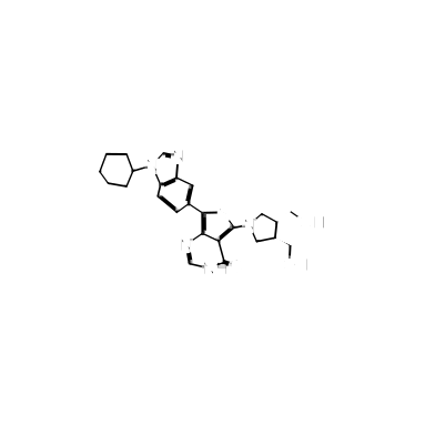 O=c1[nH]cnc2c(-c3ccc4c(c3)ncn4C3CCCCC3)sc(N3C[C@H](CO)[C@@H](CO)C3)c12